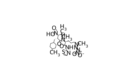 CC1CCC(C[C@@H](C(=O)N[C@@H](CCCN(C)N=N[N+](=O)[O-])C(=O)Nc2nccs2)[C@H](C(C)C)N(O)C=O)CC1